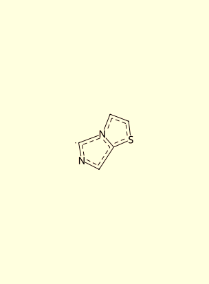 [c]1ncc2sccn12